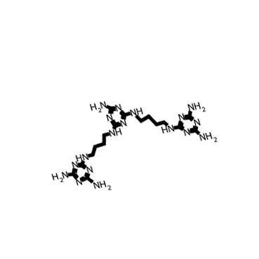 Nc1nc(N)nc(NCCCCNc2nc(N)nc(NCCCCNc3nc(N)nc(N)n3)n2)n1